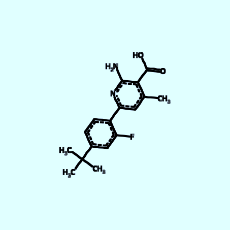 Cc1cc(-c2ccc(C(C)(C)C)cc2F)nc(N)c1C(=O)O